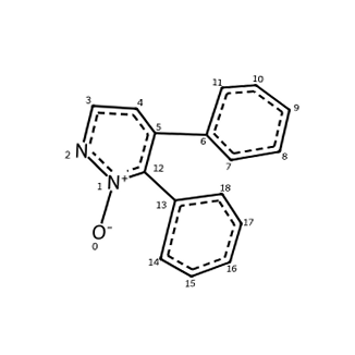 [O-][n+]1nccc(-c2ccccc2)c1-c1ccccc1